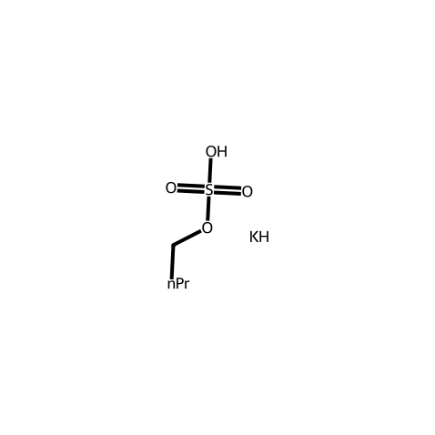 CCCCOS(=O)(=O)O.[KH]